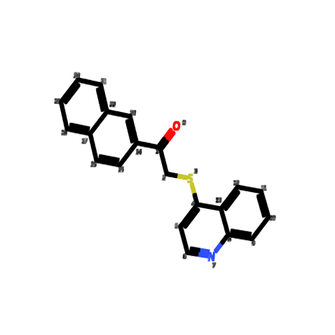 O=C(CSc1ccnc2ccccc12)c1ccc2ccccc2c1